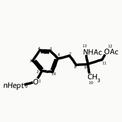 CCCCCCCOc1cccc(CCC(C)(COC(C)=O)NC(C)=O)c1